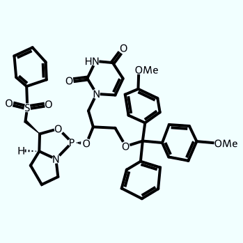 COc1ccc(C(OCC(Cn2ccc(=O)[nH]c2=O)O[P@@]2O[C@H](CS(=O)(=O)c3ccccc3)[C@@H]3CCCN32)(c2ccccc2)c2ccc(OC)cc2)cc1